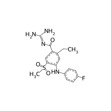 CCc1cc(Nc2ccc(F)cc2)c(S(C)(=O)=O)cc1C(=O)N=C(N)N